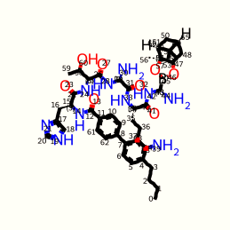 CCCCc1ccc(-c2ccc(C(=O)N[C@@H](Cc3c[nH]cn3)C(=O)N[C@H](C(=O)N[C@@H](N)C(=O)N[C@@H](CCCCN)C(=O)N[C@@H](N)B3OC4C[C@@H]5C[C@@H](C5(C)C)[C@]4(C)O3)C(C)O)cc2)cc1